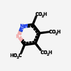 O=C(O)c1bnc(C(=O)O)c(C(=O)O)c1C(=O)O